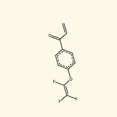 C=CC(=O)c1ccc(OC(F)=C(F)F)cc1